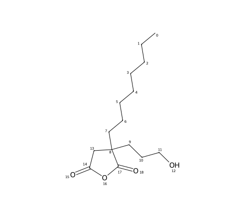 CCCCCCCCC1(CCCO)CC(=O)OC1=O